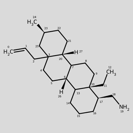 C=CCC12CC[C@@H]3C(CC[C@@]4(CC)C3CCC[C@@H]4CN)[C@H]1CC[C@H](C)C2